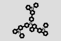 c1ccc(-n2c3ccccc3c3cc(-c4ccc(N(c5ccc(-c6ccc7c8ccccc8n(-c8ccccc8)c7c6)cc5)c5ccc(-c6ccc7c8ccccc8n(-c8ccccc8)c7c6)c6ccccc56)cc4)ccc32)cc1